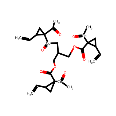 C=CC1C[C]1(C(=O)OCC(COC(=O)[C]1([Co]([CH3])=[O])CC1C=C)[CH2][Co](=[O])[C]1(C(C)=O)CC1C=C)[Co]([CH3])=[O]